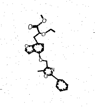 CCOC(Cc1ccc(OCc2nc(-c3ccccc3)oc2C)c2ccoc12)C(=O)OC